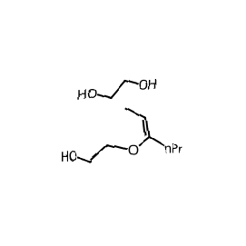 OCCO.[CH2]CCC(=CC)OCCO